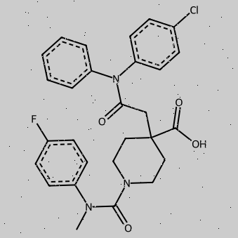 CN(C(=O)N1CCC(CC(=O)N(c2ccccc2)c2ccc(Cl)cc2)(C(=O)O)CC1)c1ccc(F)cc1